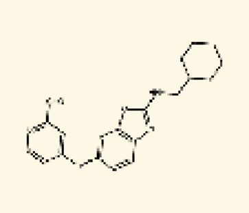 O=Cc1cc(Oc2ccc3nc(NCC4CCCCC4)oc3c2)ccn1